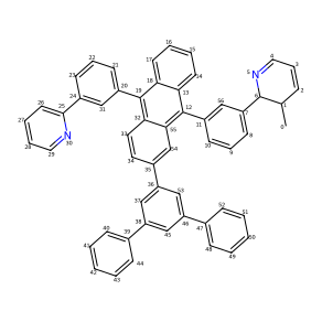 CC1C=CC=NC1c1cccc(-c2c3ccccc3c(-c3cccc(-c4ccccn4)c3)c3ccc(-c4cc(-c5ccccc5)cc(-c5ccccc5)c4)cc23)c1